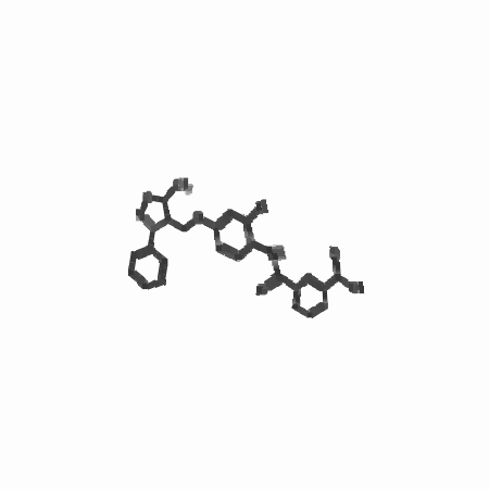 CC1ON=C(c2ccccc2)C1COc1ccc(NC(=O)c2cccc(C(=O)O)c2)c(Cl)c1